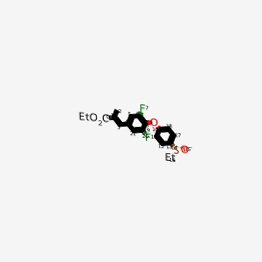 CCOC(=O)/C(C)=C/c1cc(F)c(Oc2ccc([S+]([O-])CC)cc2)c(F)c1